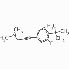 CN(C)CC#Cc1ccc(C(C)(C)C)c(F)c1